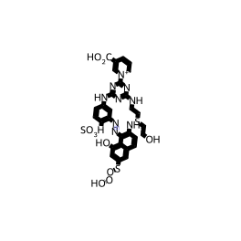 Nc1ccc2cc(SOOO)cc(O)c2c1/N=N/c1cc(Nc2nc(NCCSCCO)nc(-[n+]3cccc(C(=O)O)c3)n2)ccc1S(=O)(=O)O